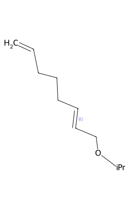 C=CCCC/C=C/COC(C)C